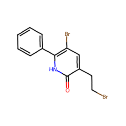 O=c1[nH]c(-c2ccccc2)c(Br)cc1CCBr